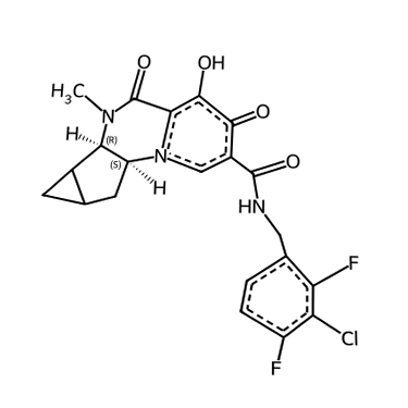 CN1C(=O)c2c(O)c(=O)c(C(=O)NCc3ccc(F)c(Cl)c3F)cn2[C@H]2CC3CC3[C@H]21